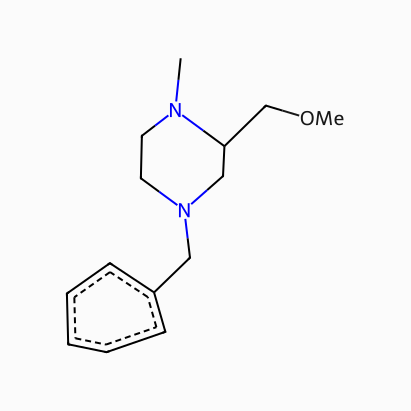 COCC1CN(Cc2ccccc2)CCN1C